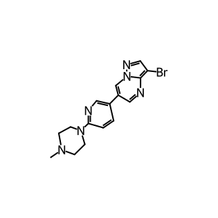 CN1CCN(c2ccc(-c3cnc4c(Br)cnn4c3)cn2)CC1